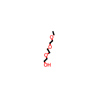 CCOCCOCCOCCO